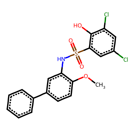 COc1ccc(-c2ccccc2)cc1NS(=O)(=O)c1cc(Cl)cc(Cl)c1O